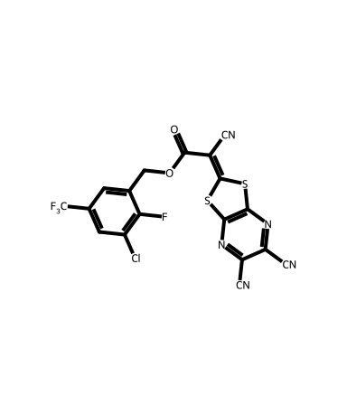 N#CC(C(=O)OCc1cc(C(F)(F)F)cc(Cl)c1F)=C1Sc2nc(C#N)c(C#N)nc2S1